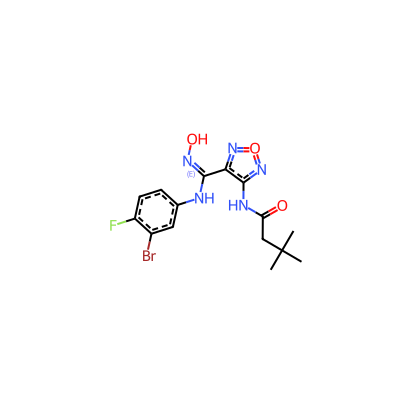 CC(C)(C)CC(=O)Nc1nonc1/C(=N\O)Nc1ccc(F)c(Br)c1